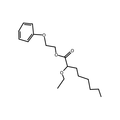 CCCCCCC(OCC)C(=O)OCCOc1ccccc1